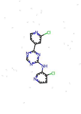 Clc1cc(-c2ncnc(Nc3cnccc3Cl)n2)ccn1